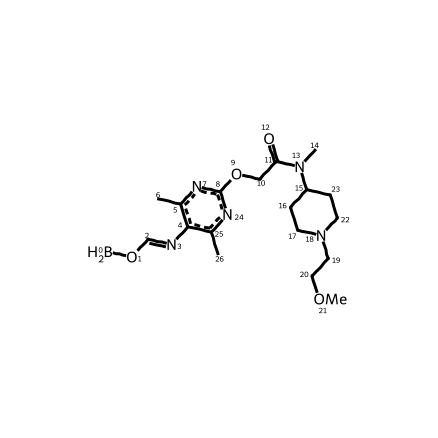 BOC=Nc1c(C)nc(OCC(=O)N(C)C2CCN(CCOC)CC2)nc1C